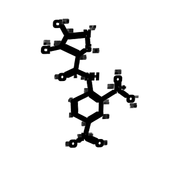 O=C(Nc1ccc([N+](=O)[O-])cc1[N+](=O)[O-])c1snc(Cl)c1Cl